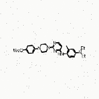 CCN(CC)c1ccc(Nc2ccnc(N3CCN(c4ccc(OC)cc4)CC3)n2)c(C)c1